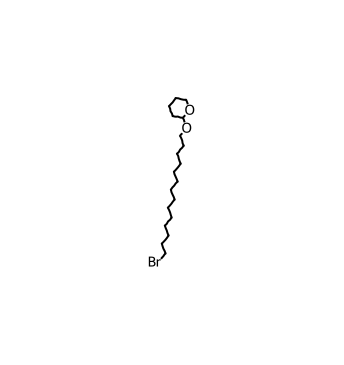 BrCCCCCCCCCCCCCCOC1CCCCO1